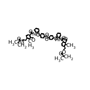 C=C(C)C(=O)OCCc1ccc(C(=O)Nc2ccccc2Oc2ccc(S(=O)(=O)c3ccc(Oc4ccccc4NC(=O)c4ccc(CCOC(=O)C(=C)C)c(C)c4C=O)cc3)cc2)c(C=O)c1C